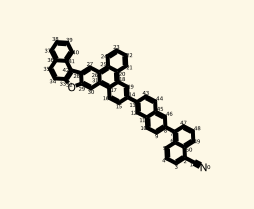 N#Cc1cccc2c(-c3ccc4cc(-c5ccc6c(c5)c5ccccc5c5cc7c(cc65)oc5ccc6ccccc6c57)ccc4c3)cccc12